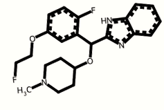 CN1CCC(OC(c2nc3ccccc3[nH]2)c2cc(OCCF)ccc2F)CC1